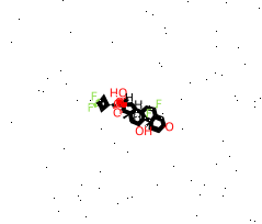 C[C@]12C=CC(=O)C=C1[C@@H](F)C[C@H]1[C@@H]3C[C@H]4O[C@@H](C5CC(F)(F)C5)O[C@@]4(C(=O)CO)[C@@]3(C)C[C@H](O)[C@@]12F